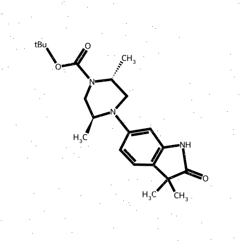 C[C@@H]1CN(c2ccc3c(c2)NC(=O)C3(C)C)[C@@H](C)CN1C(=O)OC(C)(C)C